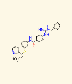 N=C(NCc1ccccc1)Nc1ccc(C(=O)Nc2cccc(SC(CC(=O)O)c3cccnc3)c2)cc1